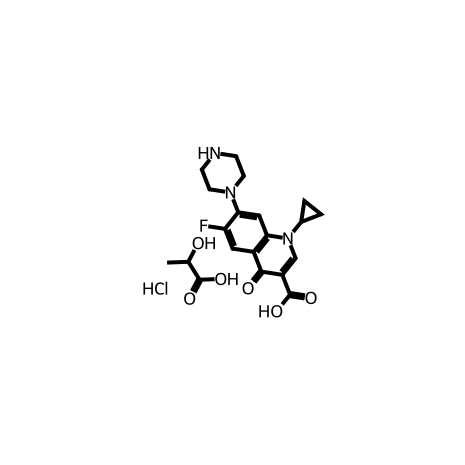 CC(O)C(=O)O.Cl.O=C(O)c1cn(C2CC2)c2cc(N3CCNCC3)c(F)cc2c1=O